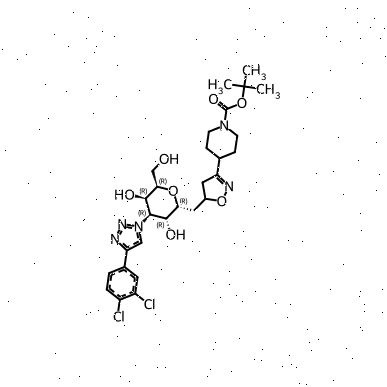 CC(C)(C)OC(=O)N1CCC(C2=NOC(C[C@H]3O[C@H](CO)[C@H](O)[C@H](n4cc(-c5ccc(Cl)c(Cl)c5)nn4)[C@H]3O)C2)CC1